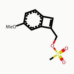 COc1ccc2c(c1)C(COS(C)(=O)=O)=C2